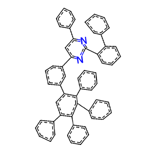 c1ccc(-c2cc(-c3cccc(-c4cc(-c5ccccc5)c(-c5ccccc5)c(-c5ccccc5)c4-c4ccccc4)c3)nc(-c3ccccc3-c3ccccc3)n2)cc1